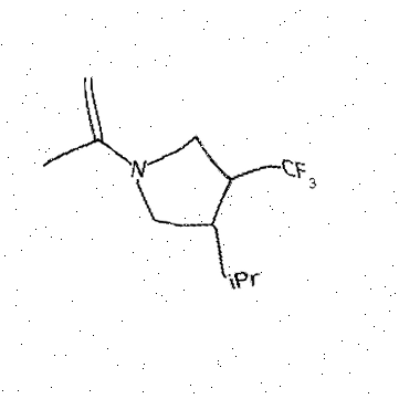 C=C(C)N1CC(C(C)C)C(C(F)(F)F)C1